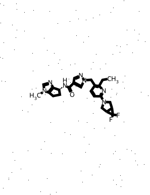 CCc1nc(N2CC3C(C2)C3(F)F)ccc1Cn1cc(C(=O)N[C@@H]2CCc3c2ncn3C)cn1